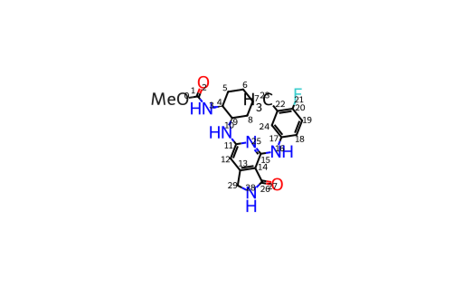 COC(=O)N[C@H]1CCCC[C@H]1Nc1cc2c(c(Nc3ccc(F)c(C)c3)n1)C(=O)NC2